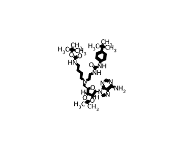 CC(C)(C)OC(=O)NCCCCN(CCNC(=O)Nc1ccc(C(C)(C)C)cc1)C[C@H]1O[C@@H](n2cnc3c(N)ncnc32)[C@@H]2OC(C)(C)O[C@@H]21